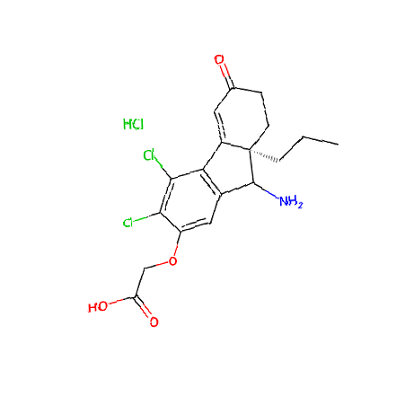 CCC[C@@]12CCC(=O)C=C1c1c(cc(OCC(=O)O)c(Cl)c1Cl)C2N.Cl